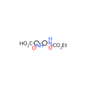 CCOC(=O)C(=O)Nc1ccc(-c2ccc(C(=O)O)c(=O)[nH]2)cc1